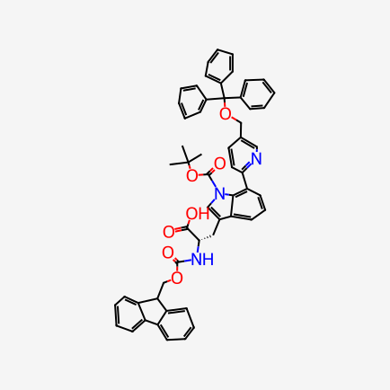 CC(C)(C)OC(=O)n1cc(C[C@H](NC(=O)OCC2c3ccccc3-c3ccccc32)C(=O)O)c2cccc(-c3ccc(COC(c4ccccc4)(c4ccccc4)c4ccccc4)cn3)c21